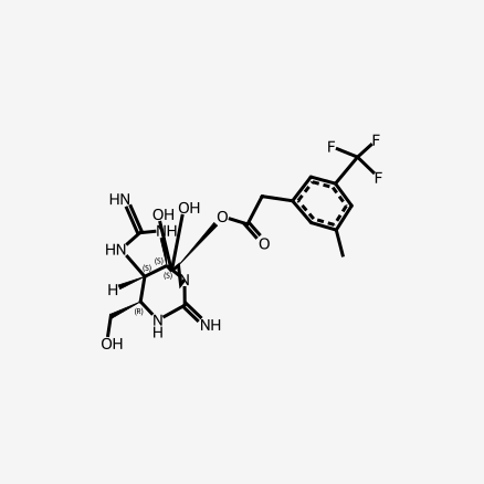 Cc1cc(CC(=O)O[C@H]2CN3C(=N)N[C@@H](CO)[C@@H]4NC(=N)N[C@@]43C2(O)O)cc(C(F)(F)F)c1